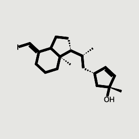 C[C@H](C[C@@H]1C=C[C@](C)(O)C1)[C@H]1CCC2/C(=C/I)CCC[C@@]21C